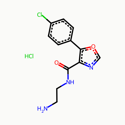 Cl.NCCNC(=O)c1ncoc1-c1ccc(Cl)cc1